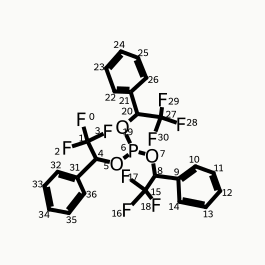 FC(F)(F)C(OP(OC(c1ccccc1)C(F)(F)F)OC(c1ccccc1)C(F)(F)F)c1ccccc1